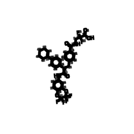 O=C(NCC(F)(F)C(=O)O)c1ccc(CN(C(=O)Nc2ccc3c(c2)OC(F)(F)C(F)(F)O3)c2ccc(C3=CCCCC3)cc2)cc1